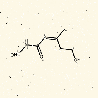 CC(=CC(=O)NC=O)CCO